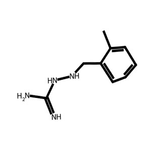 Cc1ccccc1CNNC(=N)N